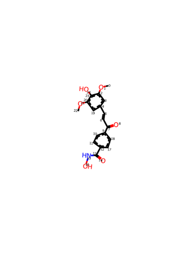 COc1cc(C=CC(=O)c2ccc(C(=O)NO)cc2)cc(OC)c1O